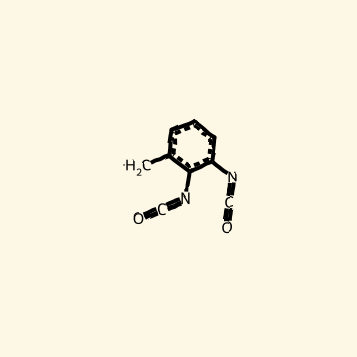 [CH2]c1cccc(N=C=O)c1N=C=O